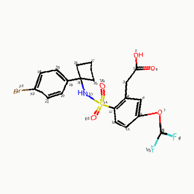 O=C(O)Cc1cc(OC(F)F)ccc1S(=O)(=O)NC1(c2ccc(Br)cc2)CCC1